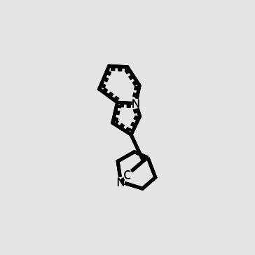 c1ccn2cc(C3CN4CCC3CC4)cc2c1